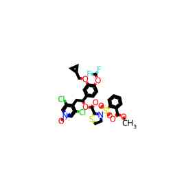 COC(=O)c1ccccc1S(=O)(=O)N1CCSC1C(=O)OC(Cc1c(Cl)c[n+]([O-])cc1Cl)c1ccc(OC(F)F)c(OCC2CC2)c1